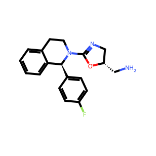 NC[C@H]1CN=C(N2CCc3ccccc3[C@@H]2c2ccc(F)cc2)O1